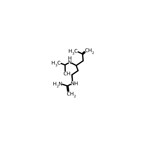 C=C(C)CC(CCNC(=C)N)NC(C)C